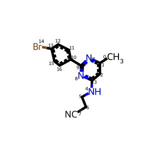 Cc1cc(NCCC#N)nc(-c2ccc(Br)cc2)n1